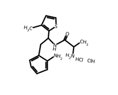 Cc1ccsc1C(Cc1ccccc1N)NC(=O)C(C)N.Cl.Cl